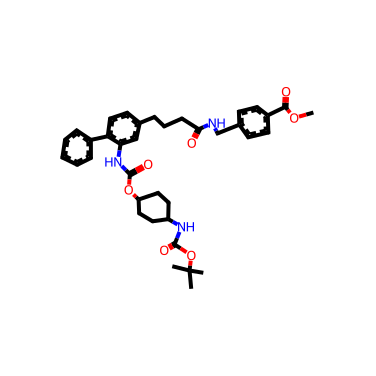 COC(=O)c1ccc(CNC(=O)CCCc2ccc(-c3ccccc3)c(NC(=O)OC3CCC(NC(=O)OC(C)(C)C)CC3)c2)cc1